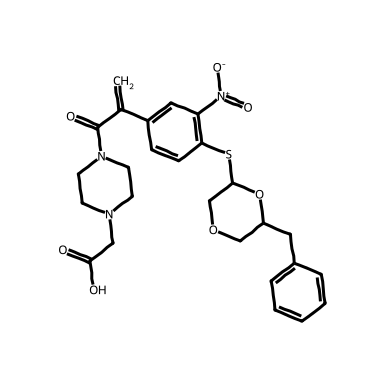 C=C(C(=O)N1CCN(CC(=O)O)CC1)c1ccc(SC2COCC(Cc3ccccc3)O2)c([N+](=O)[O-])c1